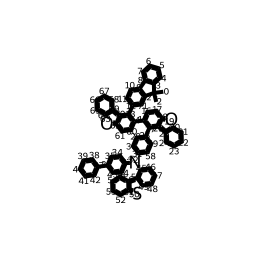 CC1(C)c2ccccc2-c2ccc(-c3c(-c4ccc5oc6ccccc6c5c4-c4ccc(N(c5ccc(-c6ccccc6)cc5)c5cccc6sc7ccccc7c56)cc4)ccc4oc5ccccc5c34)cc21